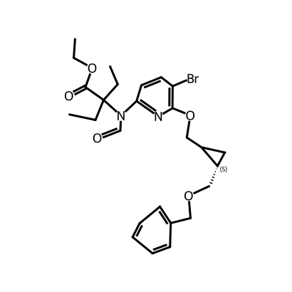 CCOC(=O)C(CC)(CC)N(C=O)c1ccc(Br)c(OCC2C[C@@H]2COCc2ccccc2)n1